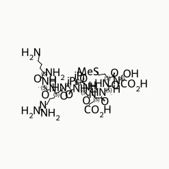 CSCC[C@H](NC(=O)[C@H](C)NC(=O)[C@H](CCC(=O)O)NC(=O)[C@H](C)NC(=O)[C@H](CC(C)C)NC(=O)[C@@H](NC(=O)[C@H](CCCN=C(N)N)NC(=O)[C@H](C)NC(=O)[C@@H](N)CCCCN)C(C)C)C(=O)N[C@@H](CO)C(=O)O